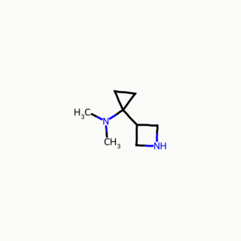 CN(C)C1(C2CNC2)CC1